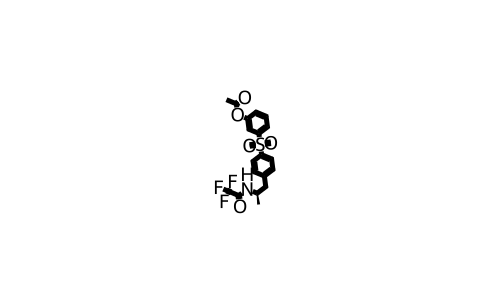 CC(=O)Oc1cccc(S(=O)(=O)c2ccc(C[C@@H](C)NC(=O)C(F)(F)F)cc2)c1